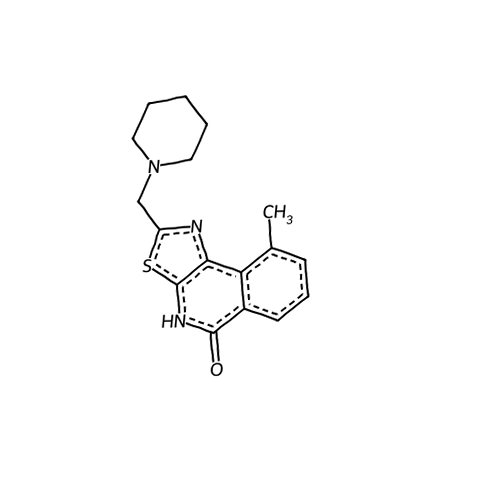 Cc1cccc2c(=O)[nH]c3sc(CN4CCCCC4)nc3c12